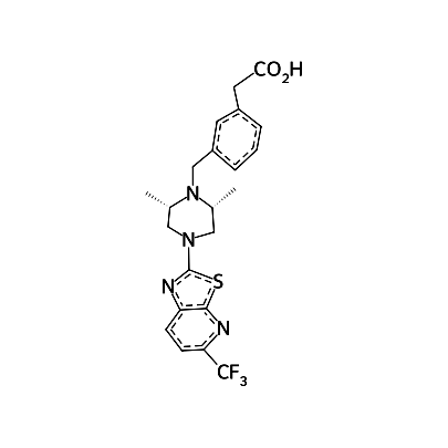 C[C@@H]1CN(c2nc3ccc(C(F)(F)F)nc3s2)C[C@H](C)N1Cc1cccc(CC(=O)O)c1